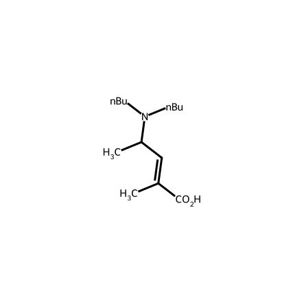 CCCCN(CCCC)C(C)C=C(C)C(=O)O